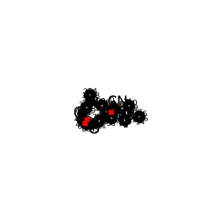 N#Cc1nc(B2c3ccccc3B(c3ccccc3)c3ccccc32)ccc1-c1ccc(-n2c3ccccc3c3cc4oc5ccccc5c4cc32)cc1-n1c2ccccc2c2cc3oc4ccccc4c3cc21